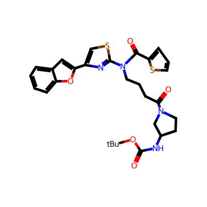 CC(C)(C)OC(=O)NC1CCN(C(=O)CCCN(C(=O)c2cccs2)c2nc(-c3cc4ccccc4o3)cs2)C1